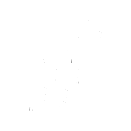 O=C1c2cc(Br)ccc2NSN1Cc1ccccc1